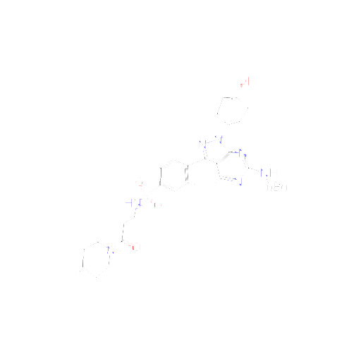 CCCCNc1ncc2c(-c3ccc(S(=O)(=O)NCCC(=O)N4CCCCC4)cc3)nn([C@H]3CC[C@@H](O)CC3)c2n1